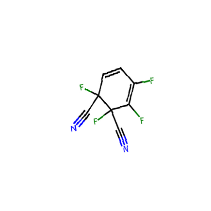 N#CC1(F)C=CC(F)=C(F)C1(F)C#N